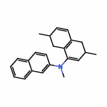 CC1C=C(N(C)c2ccc3ccccc3c2)C2=C(C=CC(C)C2)C1